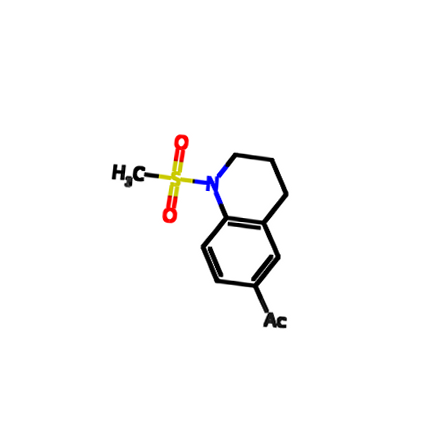 CC(=O)c1ccc2c(c1)CCCN2S(C)(=O)=O